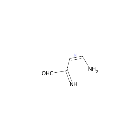 N=C(C=O)/C=C\N